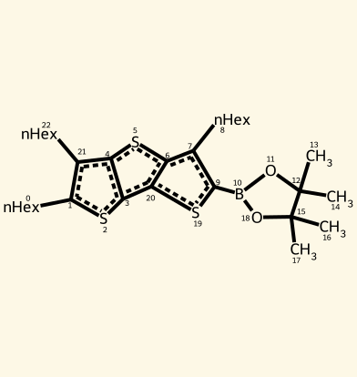 CCCCCCc1sc2c(sc3c(CCCCCC)c(B4OC(C)(C)C(C)(C)O4)sc32)c1CCCCCC